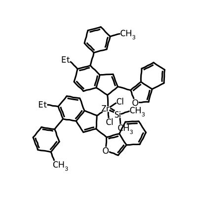 CCc1ccc2c(c1-c1cccc(C)c1)C=C(c1occ3ccccc13)[CH]2[Zr]([Cl])([Cl])([CH]1C(c2occ3ccccc23)=Cc2c1ccc(CC)c2-c1cccc(C)c1)=[Si](C)C